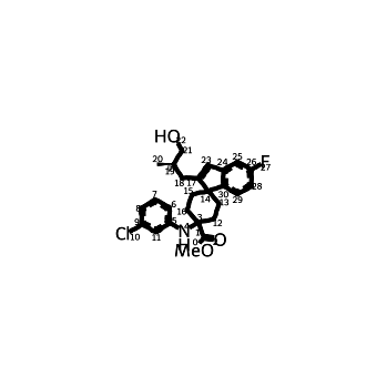 COC(=O)C1(Nc2cccc(Cl)c2)CCC2(CC1)C(C[C@@H](C)CO)=Cc1cc(F)ccc12